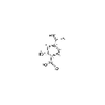 CC(=N)c1ccc([N+](=O)[O-])c(O)c1